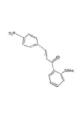 COc1ccccc1C(=O)/C=C/c1ccc([N+](=O)[O-])cc1